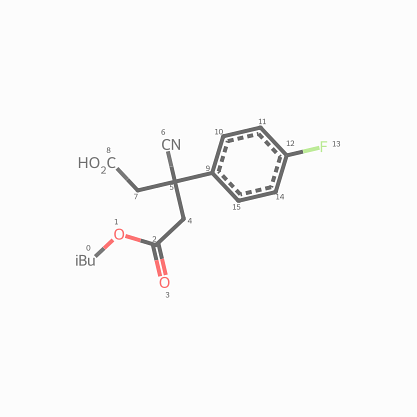 CCC(C)OC(=O)CC(C#N)(CC(=O)O)c1ccc(F)cc1